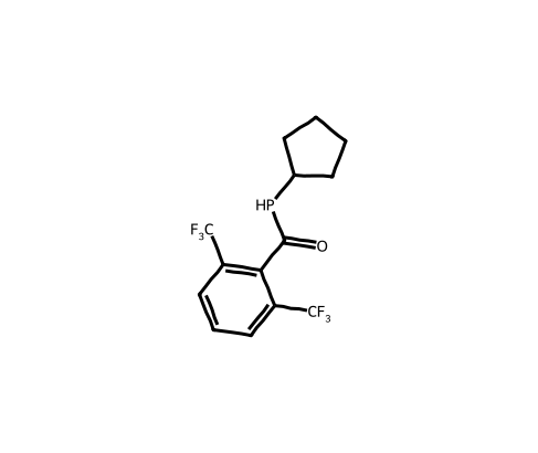 O=C(PC1CCCC1)c1c(C(F)(F)F)cccc1C(F)(F)F